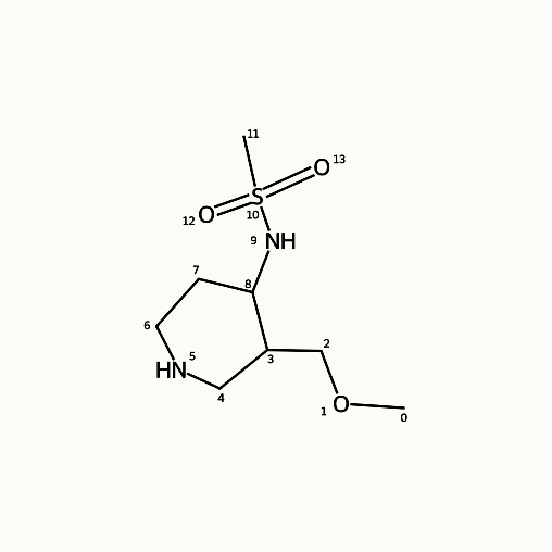 COCC1CNCCC1NS(C)(=O)=O